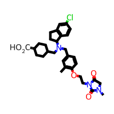 Cc1cc(CN(CC2CCC(C(=O)O)CC2)C2CCc3cc(Cl)ccc32)ccc1OCCN1C(=O)CN(C)C1=O